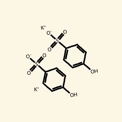 O=S(=O)([O-])c1ccc(O)cc1.O=S(=O)([O-])c1ccc(O)cc1.[K+].[K+]